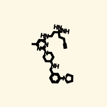 C#CCCC1(CCNc2cc(C)nc(N3CCC(NCc4cccc(N5CCCC5)c4)CC3)n2)NN1